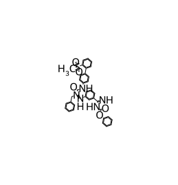 CS(=O)(=O)c1ccccc1-c1ccc(NC(=O)N(Cc2ccccc2)Nc2cccc(C(=N)NC(=O)Oc3ccccc3)c2)cc1